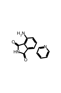 Nc1cccc2c1C(=O)NC2=O.c1ccncc1